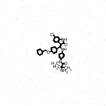 CN(C(=O)C(C)(C)N)c1ccc(N/C(=C2\C(=O)Nc3cc(Cl)ccc32)c2ccc(OCc3ccccc3)cc2)cc1